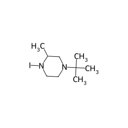 CC1CN(C(C)(C)C)CCN1I